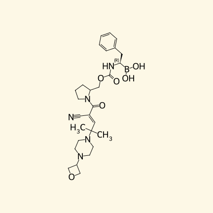 CC(C)(C=C(C#N)C(=O)N1CCCC1COC(=O)N[C@@H](Cc1ccccc1)B(O)O)N1CCN(C2COC2)CC1